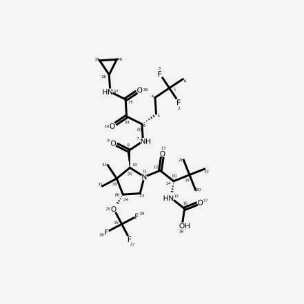 CC(F)(F)CC[C@H](NC(=O)[C@H]1N(C(=O)[C@@H](NC(=O)O)C(C)(C)C)C[C@H](OC(F)(F)F)C1(C)C)C(=O)C(=O)NC1CC1